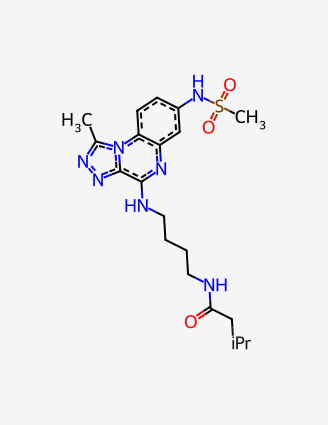 Cc1nnc2c(NCCCCNC(=O)CC(C)C)nc3cc(NS(C)(=O)=O)ccc3n12